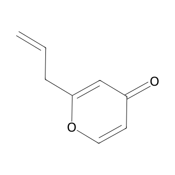 C=CCc1cc(=O)cco1